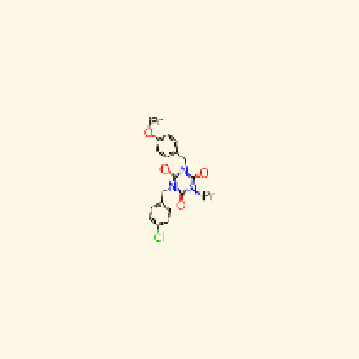 CC(C)Oc1ccc(Cn2c(=O)n(Cc3ccc(Cl)cc3)c(=O)n(C(C)C)c2=O)cc1